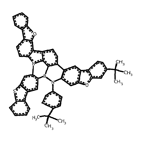 CC(C)(C)c1ccc(N2B3c4cc5c(cc4-n4c6ccc7c8ccccc8oc7c6c6ccc(c3c64)-c3cc4c(cc32)oc2cc(C(C)(C)C)ccc24)sc2ccccc25)cc1